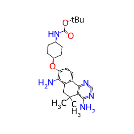 CC(C)(C)OC(=O)N[C@H]1CC[C@@H](Oc2ccc3c(c2N)CC(C)(C)c2c(N)ncnc2-3)CC1